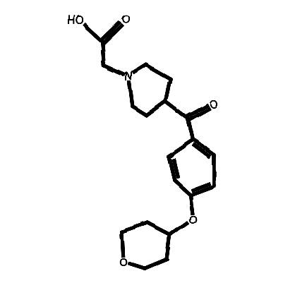 O=C(O)CN1CCC(C(=O)c2ccc(OC3CCOCC3)cc2)CC1